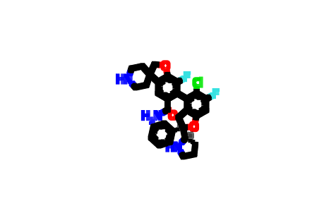 NC(=O)c1cc2c(c(F)c1-c1c(Cl)c(F)cc3c1C[C@](c1ccccc1)([C@@H]1CCCN1)O3)OCC21CCNCC1